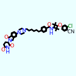 CC1(C)C(NC(=O)c2ccc(CCCCCCN3CCN(c4ccc5c(c4)CN(C4CCC(=O)NC4=O)C5=O)CC3)cc2)C(C)(C)C1Oc1ccc(C#N)c(Cl)c1